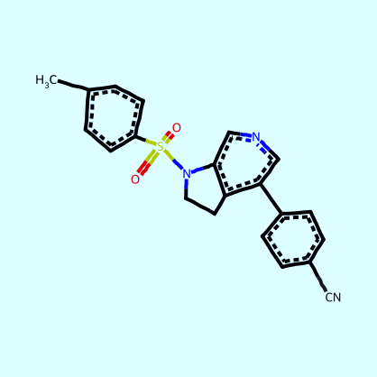 Cc1ccc(S(=O)(=O)N2CCc3c(-c4ccc(C#N)cc4)cncc32)cc1